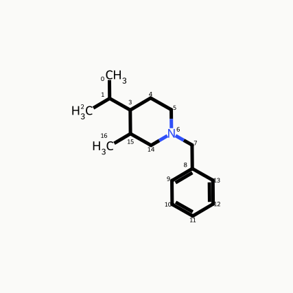 CC(C)C1CCN(Cc2ccccc2)CC1C